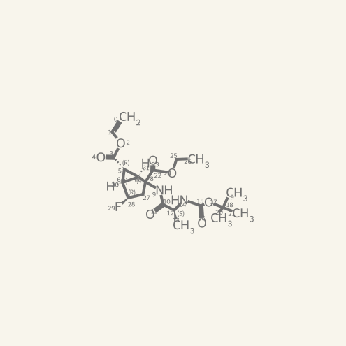 C=COC(=O)[C@H]1[C@H]2[C@@H]1C(NC(=O)[C@H](C)NC(=O)OC(C)(C)C)(C(=O)OCC)C[C@H]2F